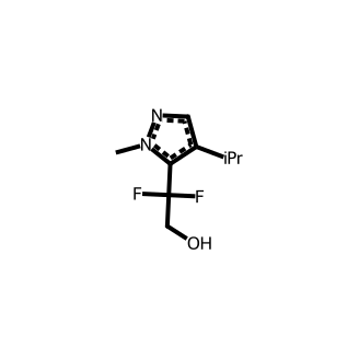 CC(C)c1cnn(C)c1C(F)(F)CO